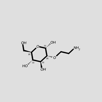 NCCO[C@@H]1[C@@H](O)[C@H](O)[C@@H](CO)O[C@@H]1O